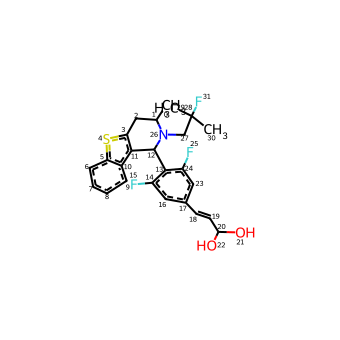 CC1Cc2sc3ccccc3c2C(c2c(F)cc(/C=C/C(O)O)cc2F)N1CC(C)(C)F